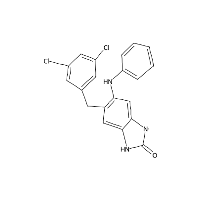 O=C1[N]c2cc(Nc3ccccc3)c(Cc3cc(Cl)cc(Cl)c3)cc2N1